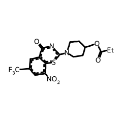 CCC(=O)OC1CCN(c2nc(=O)c3cc(C(F)(F)F)cc([N+](=O)[O-])c3s2)CC1